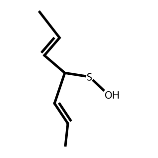 CC=CC(C=CC)SO